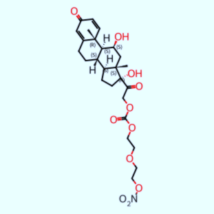 C[C@]12C=CC(=O)C=C1CC[C@@H]1[C@@H]2[C@@H](O)C[C@@]2(C)[C@H]1CC[C@]2(O)C(=O)COC(=O)OCCOCCO[N+](=O)[O-]